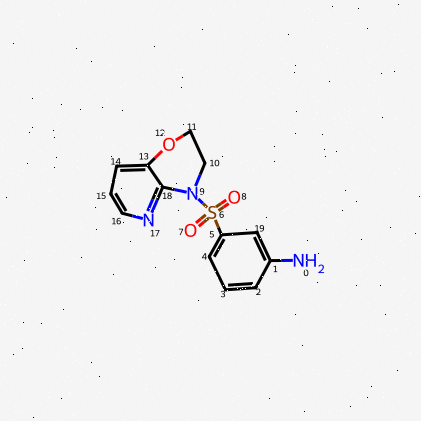 Nc1cccc(S(=O)(=O)N2CCOc3cccnc32)c1